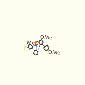 COc1ccc(-c2cc(OC)cc(OC)c2CN(C(=O)c2ccc(F)cc2)c2ccccc2)cc1